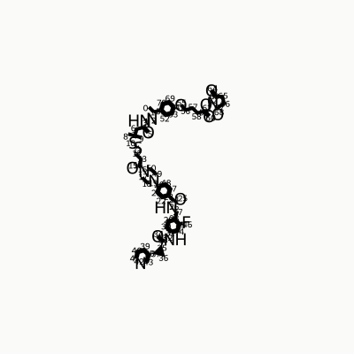 C/C(=N\NC(=O)CC(C)(C)SSCCC(=O)N1CCN(c2ccc(C(=O)NCc3ccc(NC(=O)[C@H]4C[C@@H]4c4cccnc4)cc3F)cc2)CC1)c1ccc(OCCCC(=O)ON2C(=O)CCC2=O)cc1